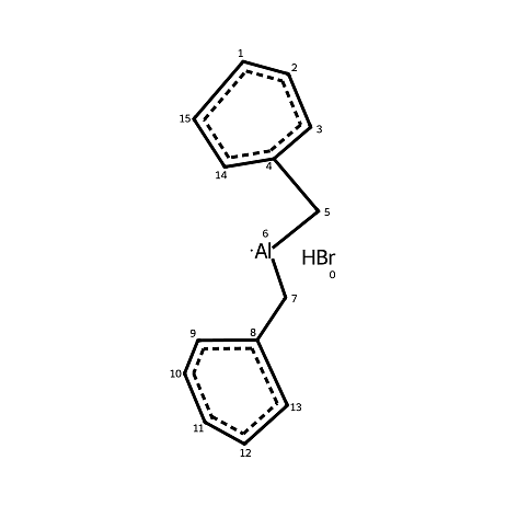 Br.c1ccc([CH2][Al][CH2]c2ccccc2)cc1